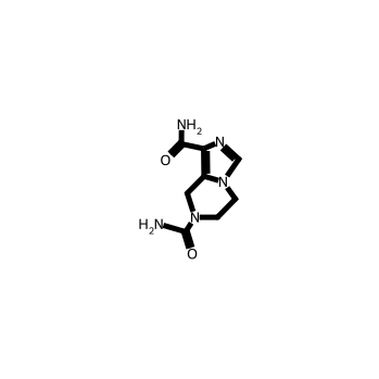 NC(=O)c1ncn2c1CN(C(N)=O)CC2